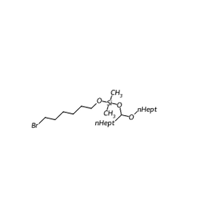 CCCCCCCOC(CCCCCCC)O[Si](C)(C)OCCCCCCBr